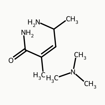 CC(=CC(C)N)C(N)=O.CN(C)C